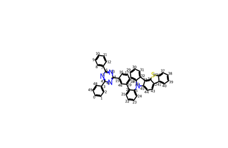 c1ccc(-c2nc(-c3ccccc3)nc(-c3cccc(-c4ccccc4-n4c5ccccc5c5c6sc7ccccc7c6ccc54)c3)n2)cc1